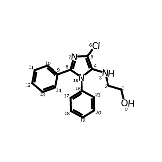 OCCNc1c(Cl)nc(-c2ccccc2)n1-c1ccccc1